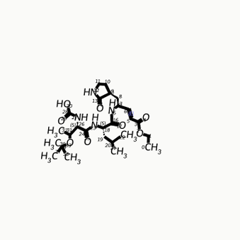 CCOC(=O)/C=C/[C@H](C[C@@H]1CCNC1=O)NC(=O)[C@H](CC(C)C)NC(=O)[C@@H](NC(=O)O)C(C)OC(C)(C)C